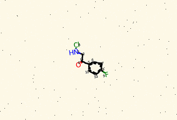 O=C(CNCl)c1ccc(F)cc1